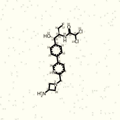 NC1CN(Cc2ccc(-c3ccc([C@H](O)[C@@H](CF)NC(=O)C(Cl)Cl)cc3)cn2)C1